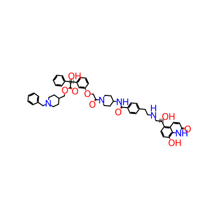 O=C(NC1CCN(C(=O)COc2cccc([C@](O)(C(=O)OCC3CCN(Cc4ccccc4)CC3)c3ccccc3)c2)CC1)c1ccc(CCNC[C@H](O)c2ccc(O)c3[nH]c(=O)ccc23)cc1